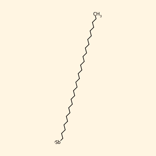 CCCCCCCCCCCCCCCCCCCCCCCCCCCCC[CH2][Sb]